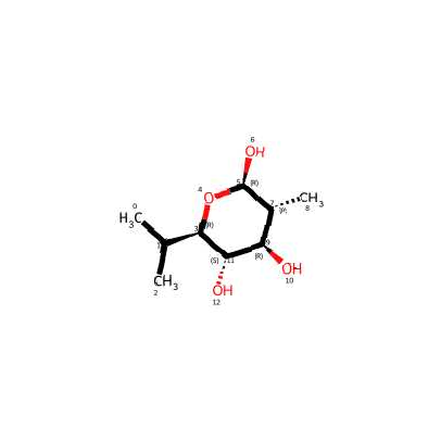 CC(C)[C@H]1O[C@@H](O)[C@H](C)[C@@H](O)[C@@H]1O